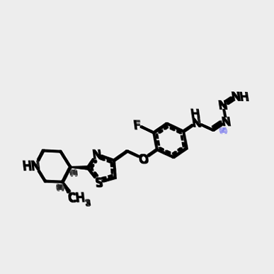 C[C@H]1CNCC[C@H]1c1nc(COc2ccc(N/C=N\N=N)cc2F)cs1